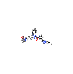 Cn1cc(-c2cccc(C(=O)Nc3nc(CCCCN4CCCC4=O)cn3-c3ccccc3)c2)cn1